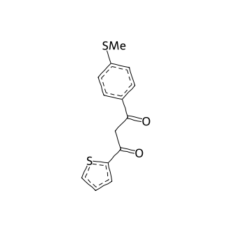 CSc1ccc(C(=O)CC(=O)c2cccs2)cc1